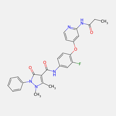 CCC(=O)Nc1cc(Oc2ccc(NC(=O)c3c(C)n(C)n(-c4ccccc4)c3=O)cc2F)ccn1